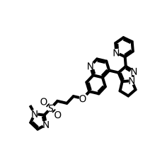 Cn1ccnc1S(=O)(=O)CCCOc1ccc2c(-c3c(-c4ccccn4)nn4c3CCC4)ccnc2c1